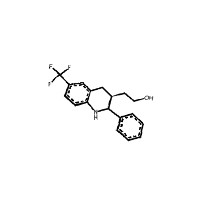 OCC[C@@H]1Cc2cc(C(F)(F)F)ccc2NC1c1ccccc1